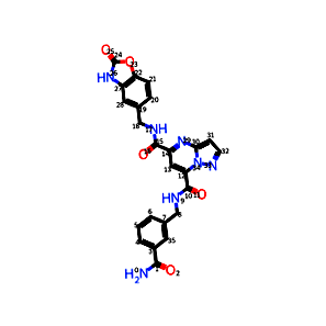 NC(=O)c1cccc(CNC(=O)c2cc(C(=O)NCc3ccc4oc(=O)[nH]c4c3)nc3ccnn23)c1